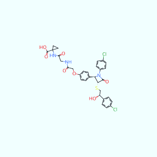 O=C(COc1ccc([C@@H]2[C@@H](SC[C@H](O)c3ccc(Cl)cc3)C(=O)N2c2ccc(Cl)cc2)cc1)NCC(=O)NC1(C(=O)O)CC1